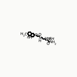 CCCC1c2ccc(OCC(=O)NCCCC[C@H](NS)C(N)=O)cc2CCC1C